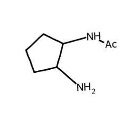 CC(=O)NC1CCCC1N